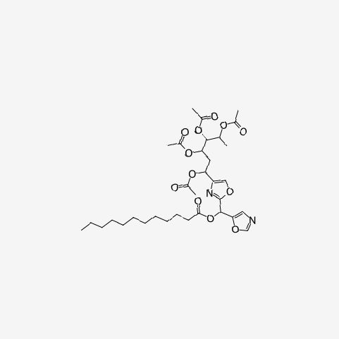 CCCCCCCCCCCC(=O)OC(c1cnco1)c1nc(C(CC(OC(C)=O)C(OC(C)=O)C(C)OC(C)=O)OC(C)=O)co1